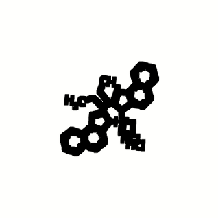 CCCC1=Cc2c(ccc3ccccc23)[CH]1[Hf]1([CH]2C(CCC)=Cc3c2ccc2ccccc32)[CH2]C[CH2]1.Cl.Cl